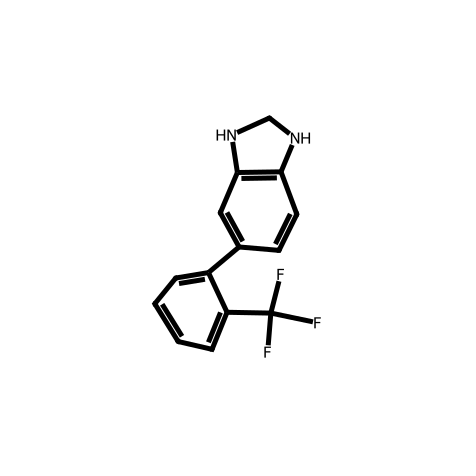 FC(F)(F)c1ccccc1-c1ccc2c(c1)NCN2